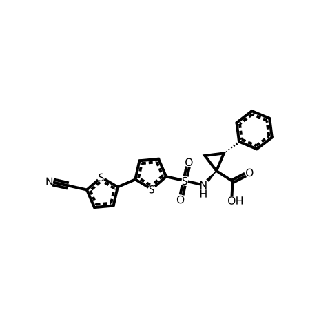 N#Cc1ccc(-c2ccc(S(=O)(=O)N[C@@]3(C(=O)O)C[C@@H]3c3ccccc3)s2)s1